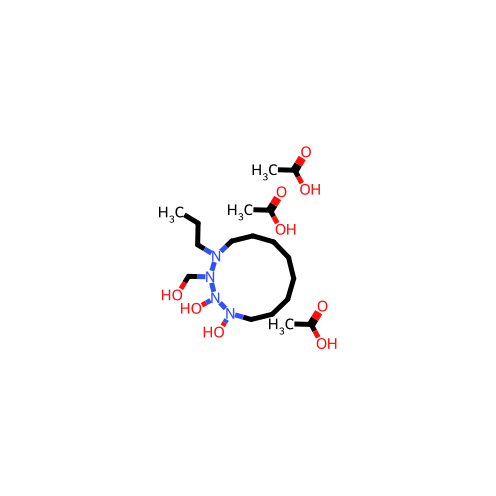 CC(=O)O.CC(=O)O.CC(=O)O.CCCN1CCCCCCCCN(O)N(O)N1CO